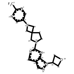 FC(F)(F)c1ncc(N2CC3(CCN(c4ncc5cnn(C6COC6)c5n4)C3)C2)cn1